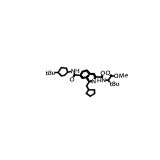 COC(=O)C(NC(=O)c1cc2ccc(C(=O)NC3CCC(C(C)(C)C)CC3)cc2c(CC2CCCC2)n1)C(C)(C)C